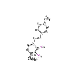 CCCc1ccc(C=Cc2ccc(OC)c(I)c2I)cc1